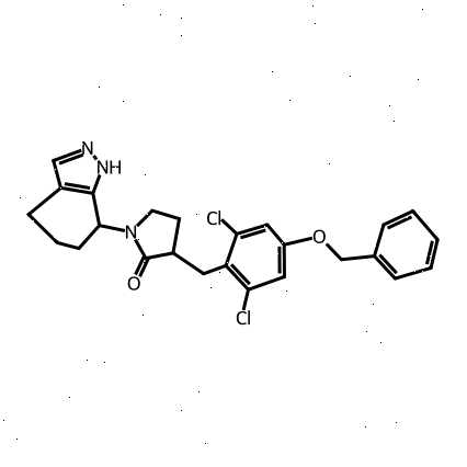 O=C1C(Cc2c(Cl)cc(OCc3ccccc3)cc2Cl)CCN1C1CCCc2cn[nH]c21